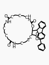 O=C1CCCCCNC(=O)CCCCCNC(=O)OC(C2c3ccccc3-c3ccccc32)C(C(=O)OCc2ccccc2)CCCCCN1